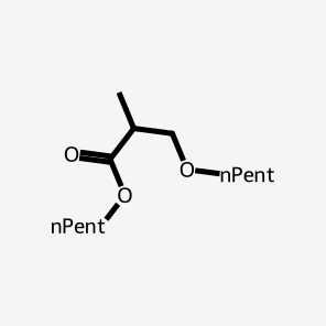 CCCCCOCC(C)C(=O)OCCCCC